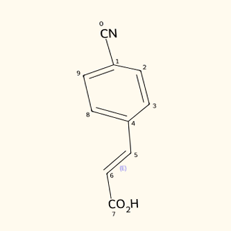 N#Cc1ccc(/C=C/C(=O)O)cc1